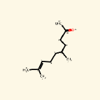 CC(C)=CCCC(C)CCC(=O)C=O